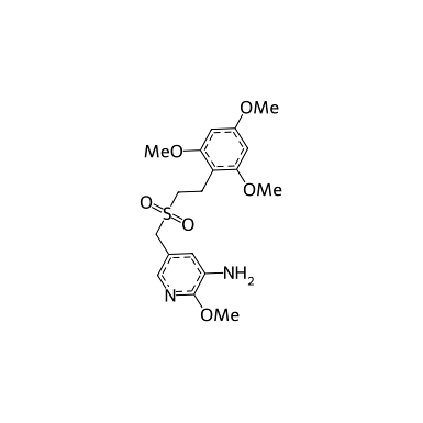 COc1cc(OC)c(CCS(=O)(=O)Cc2cnc(OC)c(N)c2)c(OC)c1